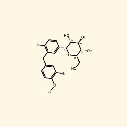 CCOc1ccc(Cc2cc([C@H]3O[C@H](CO)[C@@H](O)[C@H](O)[C@H]3O)ccc2Cl)cc1Br